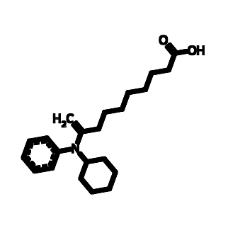 C=C(CCCCCCCC(=O)O)N(c1ccccc1)C1CCCCC1